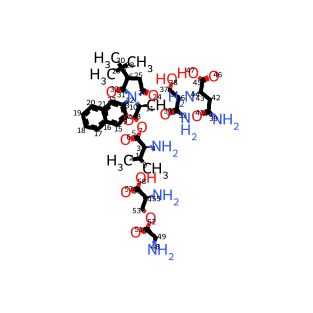 CC(C)[C@H](N)C(=O)OC(=O)[C@H](C)[N+]1(c2ccc3ccccc3c2)C(=O)CC(C(C)(C)C)C1=O.NC(=O)CCO.NC(=O)C[C@H](N)C(=O)O.NCC(=O)OC[C@H](N)C(=O)O